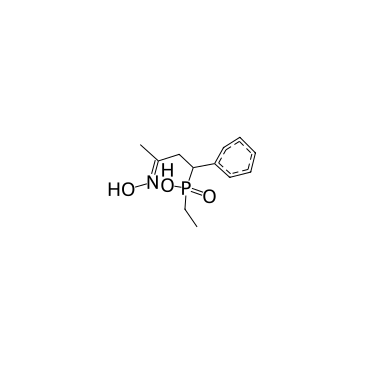 CCP(=O)(O)C(CC(C)=NO)c1ccccc1